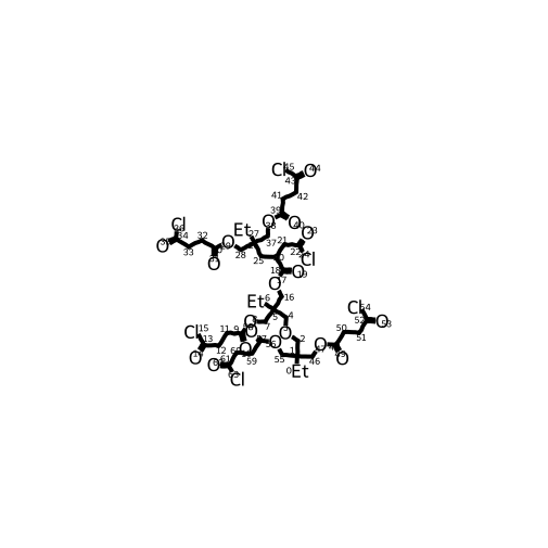 CCC(COCC(CC)(COC(=O)CCC(=O)Cl)COC(=O)C(CC(=O)Cl)CC(CC)(COC(=O)CCC(=O)Cl)COC(=O)CCC(=O)Cl)(COC(=O)CCC(=O)Cl)COC(=O)CCC(=O)Cl